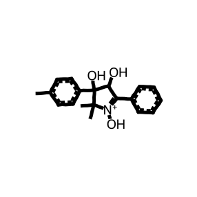 Cc1ccc(C2(O)C(O)C(c3ccccc3)=[N+](O)C2(C)C)cc1